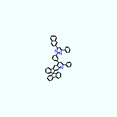 c1ccc(-c2cc(-c3ccc4ccccc4c3)nc(-c3cccc(-c4cc(-c5ccccc5)nc5cc6c(cc45)-c4ccccc4C64c5ccccc5-c5ccccc54)c3)n2)cc1